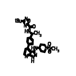 C[C@@H](NC(=O)c1nc(C(C)(C)C)no1)c1ccc(-c2ccnc3[nH]nc(NC4CCN(S(C)(=O)=O)CC4)c23)cc1